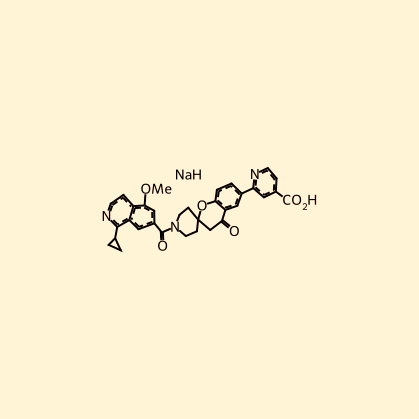 COc1cc(C(=O)N2CCC3(CC2)CC(=O)c2cc(-c4cc(C(=O)O)ccn4)ccc2O3)cc2c(C3CC3)nccc12.[NaH]